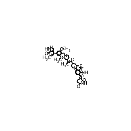 COc1cc(-c2cn(C)c(=O)c3[nH]ncc23)cc(OC)c1CN1CCC(N(C)C(=O)C2CCN(c3ccc4c(N5CCC(=O)NC5=O)n[nH]c4c3C(F)(F)F)CC2)CC1